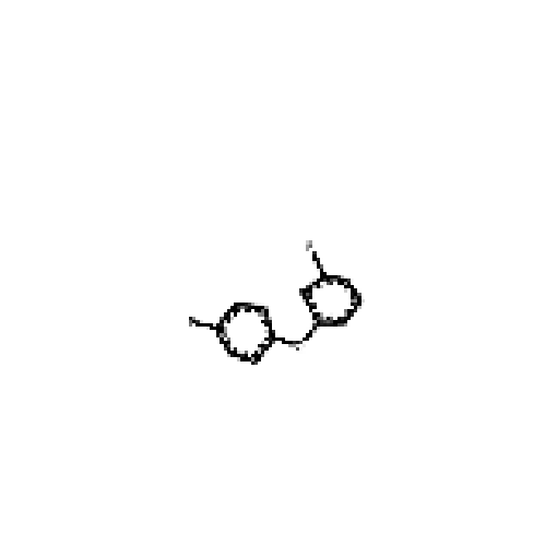 Fc1[c]ccc(Oc2ccc(F)cc2)c1